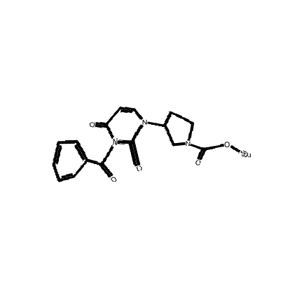 CC(C)(C)OC(=O)N1CCC(n2ccc(=O)n(C(=O)c3ccccc3)c2=O)C1